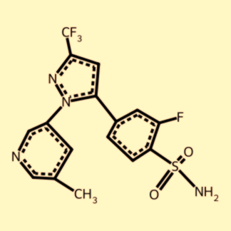 Cc1cncc(-n2nc(C(F)(F)F)cc2-c2ccc(S(N)(=O)=O)c(F)c2)c1